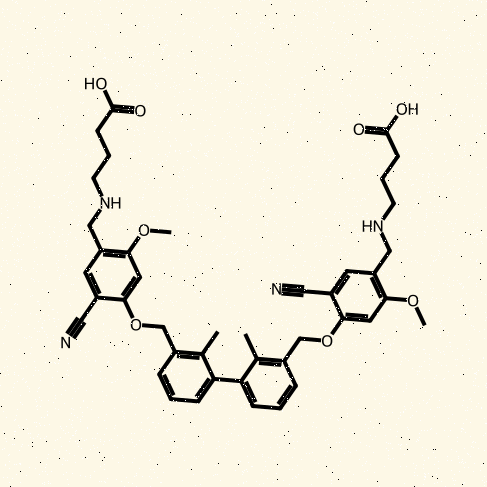 COc1cc(OCc2cccc(-c3cccc(COc4cc(OC)c(CNCCCC(=O)O)cc4C#N)c3C)c2C)c(C#N)cc1CNCCCC(=O)O